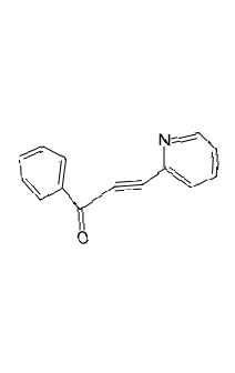 O=C(C#Cc1ccccn1)c1ccccc1